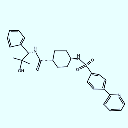 CC(C)(O)[C@@H](NC(=O)[C@H]1CC[C@H](NS(=O)(=O)c2ccc(-c3ccccn3)cc2)CC1)c1ccccc1